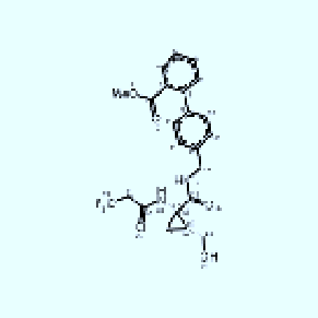 COC(=O)c1ccccc1-c1ccc(CNC(=O)[C@]2(NC(=O)CC(F)(F)F)C[C@H]2CO)cc1